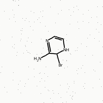 NC1=NC=[C]NC1Br